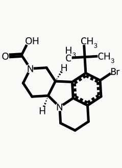 CC(C)(C)c1c(Br)cc2c3c1[C@@H]1CN(C(=O)O)CC[C@@H]1N3CCC2